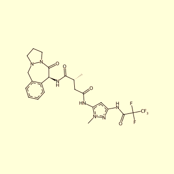 C[C@H](CC(=O)Nc1cc(NC(=O)C(F)(F)C(F)(F)F)nn1C)C(=O)N[C@@H]1C(=O)N2CCCN2Cc2ccccc21